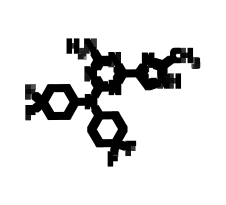 Cc1nc(-c2nc(N)nc(N(C3CCC(F)(F)CC3)C3CCC(F)(F)CC3)n2)c[nH]1